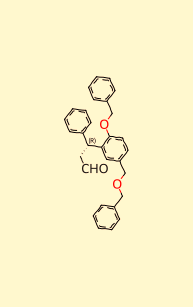 O=CC[C@H](c1ccccc1)c1cc(COCc2ccccc2)ccc1OCc1ccccc1